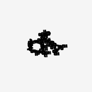 CCC(=O)[C@@H]1CSSC[C@H](NC(=O)[C@@H](CCC(=O)O)CC(=O)[C@H](Cc2c[nH]c3ccccc23)NC(=S)Nc2ccc(CC3CN(CC(=O)O)CCN(CC(=O)O)CCN3CC(=O)O)cc2)C(=O)N2C[C@H](O)C[C@H]2C(=O)C[C@@H](Cc2ccc(O)c(Cl)c2)C(=O)NCC(=O)C[C@@H](CC(C)C)C(=O)N1